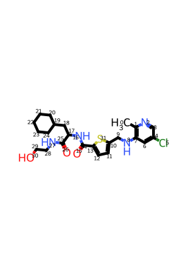 Cc1ncc(Cl)cc1NCc1ccc(C(=O)NC(CC2CCCCC2)C(=O)NCCO)s1